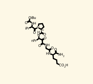 CCCC(NC(=O)[C@@H]1CCCN1C(=O)C(NC(=O)OCC(C)C)C(C)C)C(=O)C(=O)NCC(=O)NC(CCCC(=O)O)C(N)=O